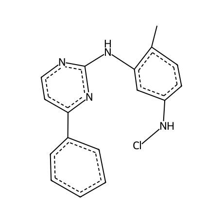 Cc1ccc(NCl)cc1Nc1nccc(-c2ccccc2)n1